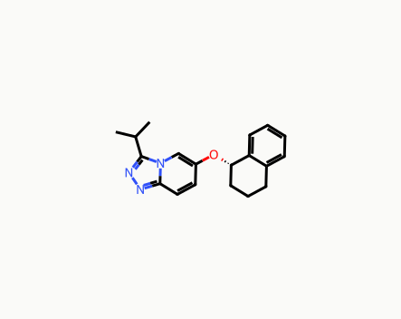 CC(C)c1nnc2ccc(O[C@H]3CCCc4ccccc43)cn12